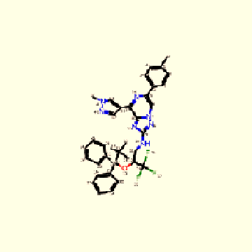 Cc1ccc(-c2cn3nc(NCC(O[Si](c4ccccc4)(c4ccccc4)C(C)(C)C)C(F)(F)F)nc3c(-c3cnn(C)c3)n2)cc1